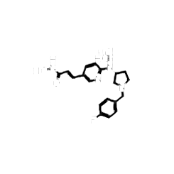 Cl.Cl.O=C(C=Cc1ccc(N[C@@H]2CCN(Cc3ccc(F)cc3)C2)nc1)NO